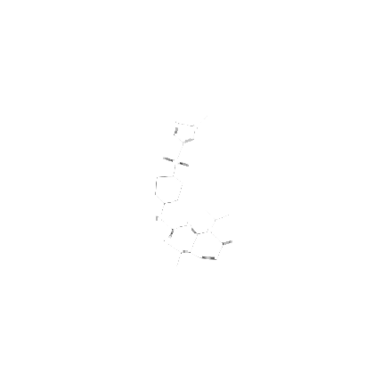 CC(C)n1c(=O)ccc2c(Cl)nc(NC3CCC(S(=O)(=O)c4cnn(C)c4)CC3)nc21